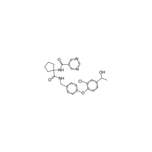 CC(O)c1ccc(Oc2ccc(CNC(=O)C3(NC(=O)c4cncnc4)CCCC3)cc2)c(Cl)c1